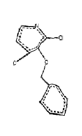 Clc1ccnc(Cl)c1OCc1ccccc1